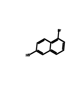 Sc1ccc2c(Br)cccc2c1